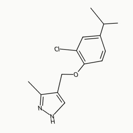 Cc1n[nH]cc1COc1ccc(C(C)C)cc1Cl